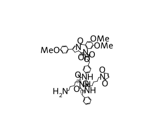 COc1ccc(C2=CN3C(=O)c4cc(OC)c(OC)cc4N(C(=O)OCc4ccc(NC(=O)[C@H](CCCCN)NC(=O)[C@H](Cc5ccccc5)NC(=O)CCCCN5C(=O)C=CC5=O)cc4)[C@@H](O)C3C2)cc1